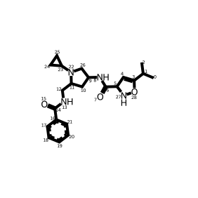 CC(C)C1=CC(C(=O)NC2CC(CNC(=O)c3ccccc3)N(C3CC3)C2)NO1